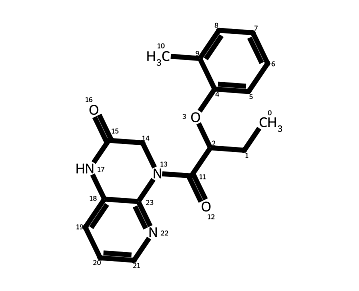 CCC(Oc1ccccc1C)C(=O)N1CC(=O)Nc2cccnc21